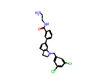 NCCNC(=O)c1cccc(-c2ccc3c(c2)N(Cc2cc(Cl)cc(Cl)c2)CC3)c1